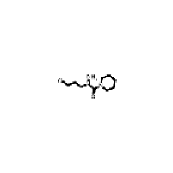 NN(CCCCl)C(=O)N1CCCCC1